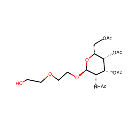 CC(=O)N[C@@H]1[C@@H](OCCOCCO)O[C@H](COC(C)=O)[C@H](OC(C)=O)[C@@H]1OC(C)=O